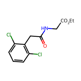 CCOC(=O)CNC(=O)Cc1c(Cl)cccc1Cl